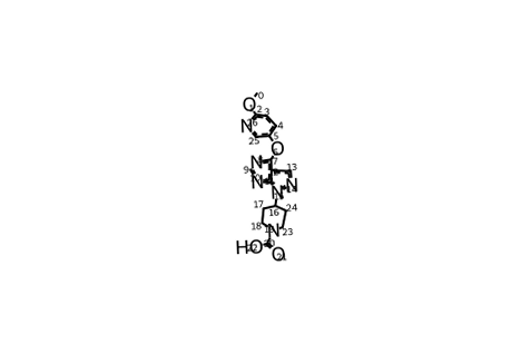 COc1ccc(Oc2ncnc3c2cnn3C2CCN(C(=O)O)CC2)cn1